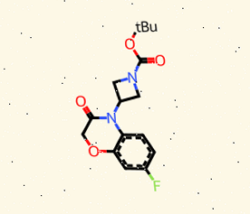 CC(C)(C)OC(=O)N1CC(N2C(=O)COc3cc(F)ccc32)C1